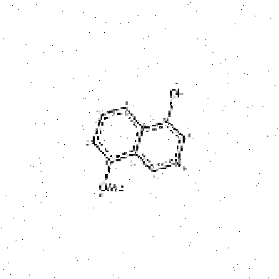 COc1cccc2c(O)cncc12